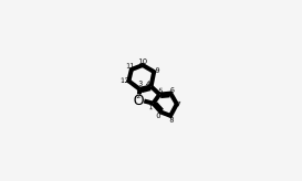 C1=c2oc3c(c2=CCC1)CCCC3